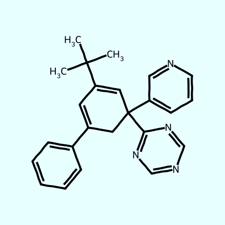 CC(C)(C)C1=CC(c2cccnc2)(c2ncncn2)CC(c2ccccc2)=C1